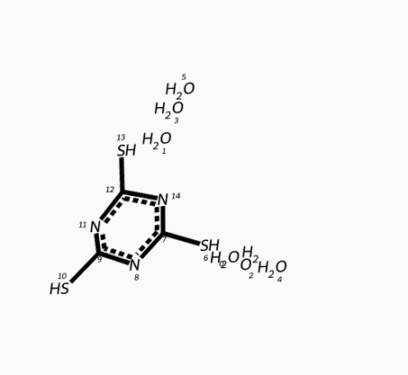 O.O.O.O.O.O.Sc1nc(S)nc(S)n1